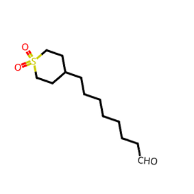 O=CCCCCCCCC1CCS(=O)(=O)CC1